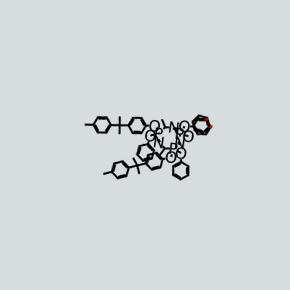 Cc1ccc(C(C)(C)c2ccc(OP3(Oc4ccccc4)=NC(C)P(Oc4ccccc4)(Oc4ccc(C(C)(C)c5ccc(C)cc5)cc4)=NP(Oc4ccccc4)(Oc4ccccc4)=NC3C)cc2)cc1